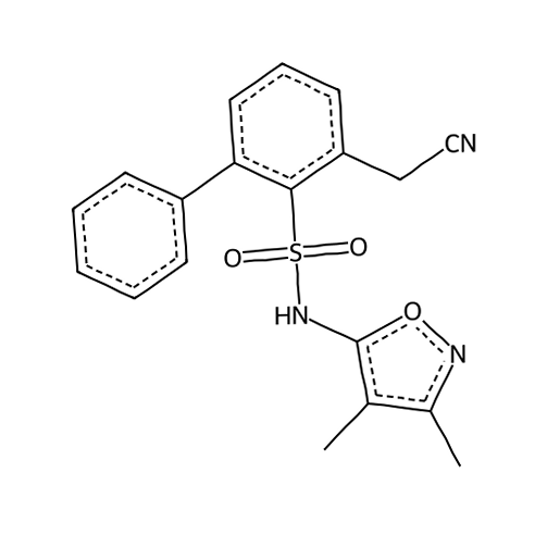 Cc1noc(NS(=O)(=O)c2c(CC#N)cccc2-c2ccccc2)c1C